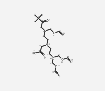 CC(C)(C)C(=O)CN(CCN(CCN(COC=O)COC=O)CC(=O)O)COC=O